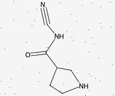 N#CNC(=O)C1CCNC1